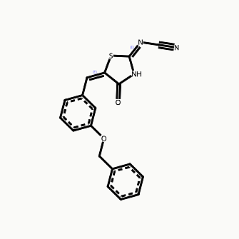 N#C/N=C1\NC(=O)/C(=C\c2cccc(OCc3ccccc3)c2)S1